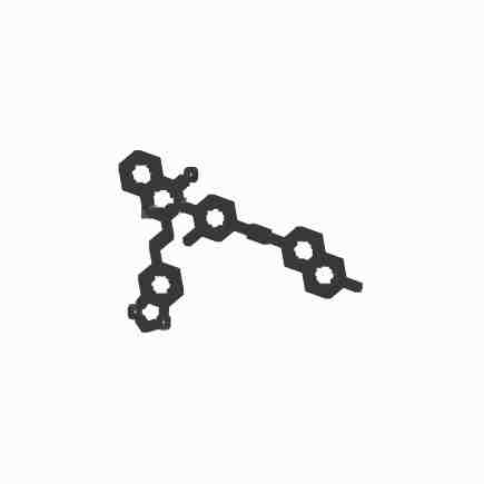 Cc1ccc2cc(C#Cc3ccc(-n4c(/C=C/c5ccc6c(c5)OCO6)nc5ccccc5c4=O)c(C)c3)ccc2c1